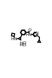 Cl.Cl.O=C(Nc1cnn(CC2CC2)c1)c1cccc(C2CC2NC2CCC2)c1